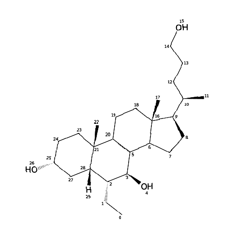 CC[C@H]1[C@H](O)C2C3CC[C@H]([C@H](C)CCCO)[C@@]3(C)CCC2[C@@]2(C)CC[C@@H](O)C[C@@H]12